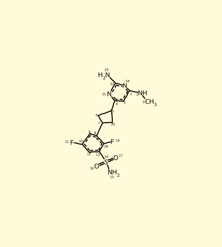 CNc1cc(C2CC(c3cc(F)cc(S(N)(=O)=O)c3F)C2)nc(N)n1